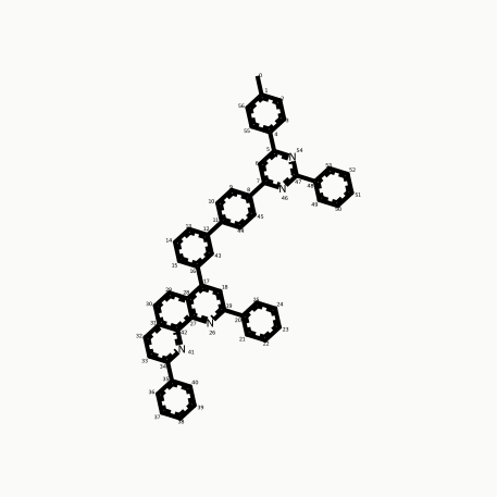 Cc1ccc(-c2cc(-c3ccc(-c4cccc(-c5cc(-c6ccccc6)nc6c5ccc5ccc(-c7ccccc7)nc56)c4)cc3)nc(-c3ccccc3)n2)cc1